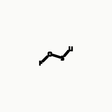 [Li][S]OF